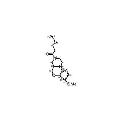 CCCOCCC(=O)N1CCN2c3ncc(OC)cc3OCC2C1